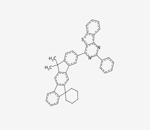 CC1(C)c2ccc(-c3nc(-c4ccccc4)nc4c3sc3ccccc34)cc2-c2cc3c(cc21)-c1ccccc1C31CCCCC1